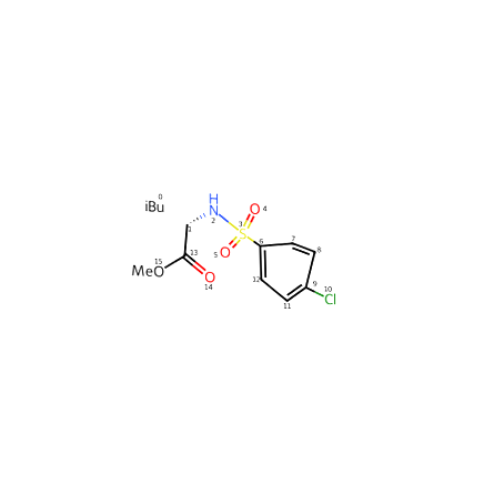 CC[C@H](C)[C@H](NS(=O)(=O)c1ccc(Cl)cc1)C(=O)OC